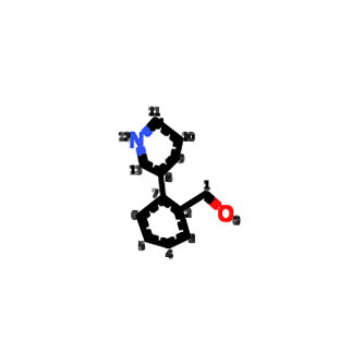 O=Cc1ccccc1-c1cc[c]nc1